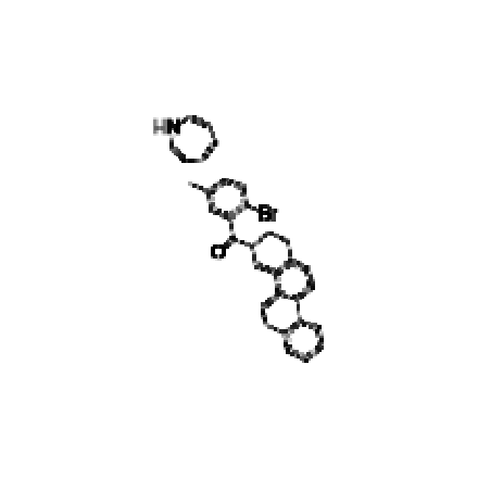 C1=CC=CNC=C1.Cc1ccc(Br)c(C(=O)C2C=c3c(ccc4c3=CCc3ccccc3-4)CC2)c1